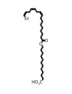 CC/C=C\C/C=C\C/C=C\CCCCCCCC(=O)OCCCCCCCCCCCC(=O)O